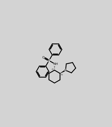 O=P(N[C@H]1CCCC[C@@H]1N1CCCC1)(c1ccccc1)c1ccccc1